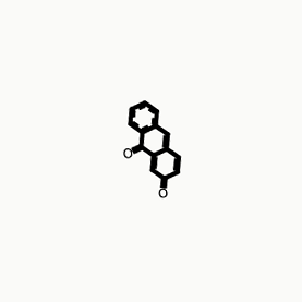 O=C1C=CC2=Cc3ccccc3C(=O)C2=C1